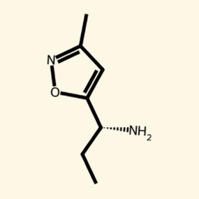 CC[C@@H](N)c1cc(C)no1